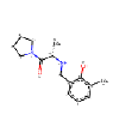 CC(C)(C)c1cccc(CN[C@H](C(=O)N2CCCC2)C(C)(C)C)c1O